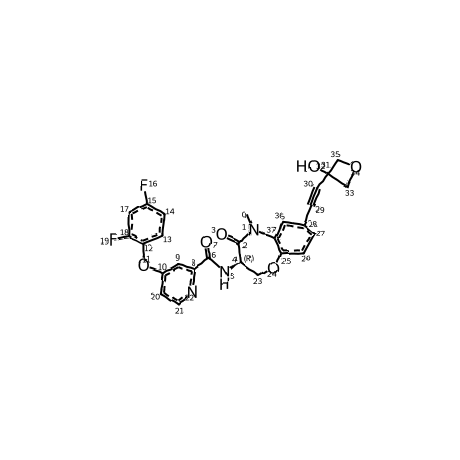 CN1C(=O)[C@H](NC(=O)c2cc(Oc3ccc(F)cc3F)ccn2)COc2ccc(C#CC3(O)COC3)cc21